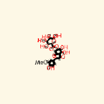 COc1cc(-c2cc(=O)c3c(O)c(O)c(OC(=O)C4OC(O)C(O)C(O)C4O)cc3o2)ccc1O